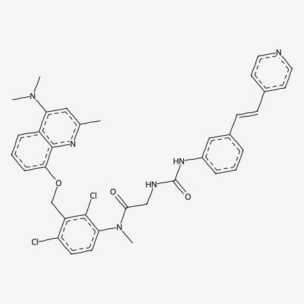 Cc1cc(N(C)C)c2cccc(OCc3c(Cl)ccc(N(C)C(=O)CNC(=O)Nc4cccc(C=Cc5ccncc5)c4)c3Cl)c2n1